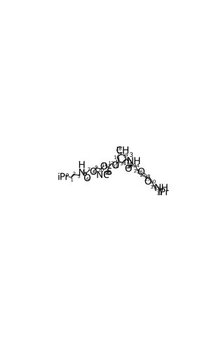 CC(C)/C=C/CNC(=O)COCCOC(COC1=CC(C)CC(NC(=O)CCOCCOCCNC(C)C)=C1)SC#N